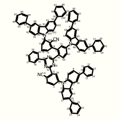 N#Cc1ccc(-n2c3ccc(-c4ccccc4)cc3c3cc(-c4ccccc4)ccc32)cc1-c1nc(-c2ccccc2)nc(-c2ccc(-n3c4ccc(-c5ccccc5)cc4c4cc(-c5ccccc5)ccc43)cc2-c2cccc(-n3c4ccc(-c5ccccc5)cc4c4cc(-c5ccccc5)ccc43)c2C#N)n1